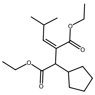 CCOC(=O)C(=CC(C)C)C(C(=O)OCC)C1CCCC1